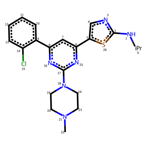 CC(C)Nc1ncc(-c2cc(-c3ccccc3Cl)nc(N3CCN(C)CC3)n2)s1